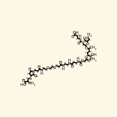 CCC(CO)OC(COC(=O)NCCC(=O)O)OC(C)CCC(CO)OC(COC(=O)NCCC(=O)NCCNC(=O)CCOCCOCCNC(=O)CCN1C(=O)CC(SCC(N)C(=O)O)C1=O)OC